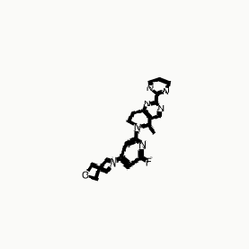 CC1c2cnc(-c3ncccn3)nc2CCN1c1cc(N2CC3(COC3)C2)cc(F)n1